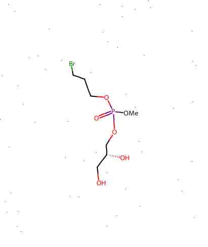 COP(=O)(OCCCBr)OC[C@H](O)CO